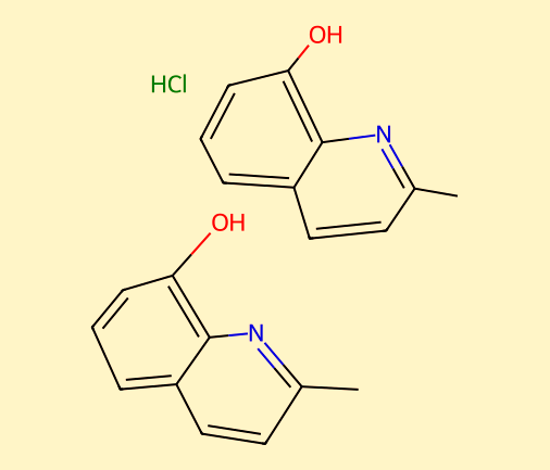 Cc1ccc2cccc(O)c2n1.Cc1ccc2cccc(O)c2n1.Cl